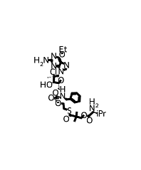 CCOc1nc(N)nc2c1ncn2[C@@H]1O[C@H](COP(=O)(NCc2ccccc2)OCCSC(=O)C(C)(C)COC(=O)[C@@H](N)C(C)C)[C@@H](O)[C@@]1(C)Cl